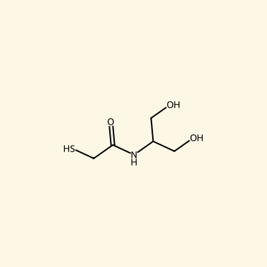 O=C(CS)NC(CO)CO